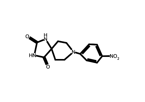 O=C1NC(=O)C2(CCN(c3ccc([N+](=O)[O-])cc3)CC2)N1